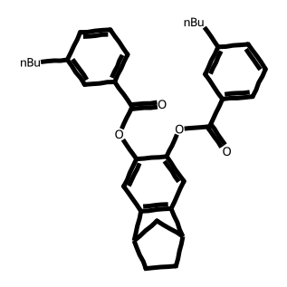 CCCCc1cccc(C(=O)Oc2cc3c(cc2OC(=O)c2cccc(CCCC)c2)C2CCC3C2)c1